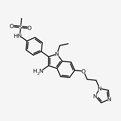 CCn1c(-c2ccc(NS(C)(=O)=O)cc2)c(N)c2ccc(OCCn3cncn3)cc21